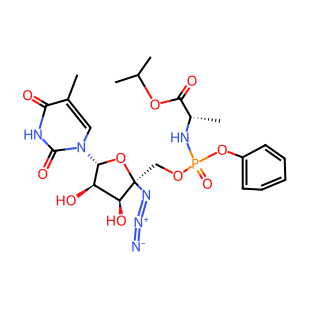 Cc1cn([C@@H]2O[C@@](COP(=O)(N[C@@H](C)C(=O)OC(C)C)Oc3ccccc3)(N=[N+]=[N-])[C@@H](O)[C@H]2O)c(=O)[nH]c1=O